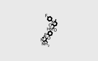 Cc1c(N)ncnc1Oc1ccc(NC(=O)c2ccc(C)n(-c3ccc(F)cc3)c2=O)cc1F